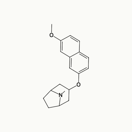 COc1ccc2ccc(OC3CC4CCC(C3)N4C)cc2c1